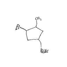 CCC1CC(NC(C)=O)CC1C